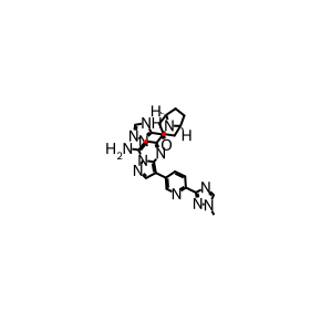 Cn1cnc(-c2ccc(-c3cnn4c(N)cc(C5C[C@H]6CC[C@@H](C5)N6C(=O)c5nnc[nH]5)nc34)cn2)n1